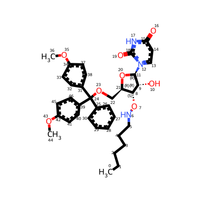 CCCCCCNO[C@H]1[C@@H](O)[C@H](n2ccc(=O)[nH]c2=O)O[C@@H]1COC(c1ccccc1)(c1ccc(OC)cc1)c1ccc(OC)cc1